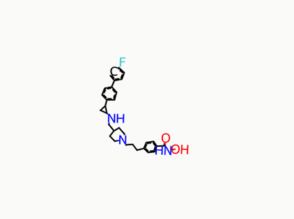 O=C(NO)c1ccc(CCCN2CCC(CNC3CC3c3ccc(-c4ccc(F)cc4)cc3)CC2)cc1